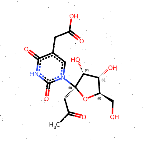 CC(=O)C[C@@]1(n2cc(CC(=O)O)c(=O)[nH]c2=O)O[C@H](CO)[C@@H](O)[C@H]1O